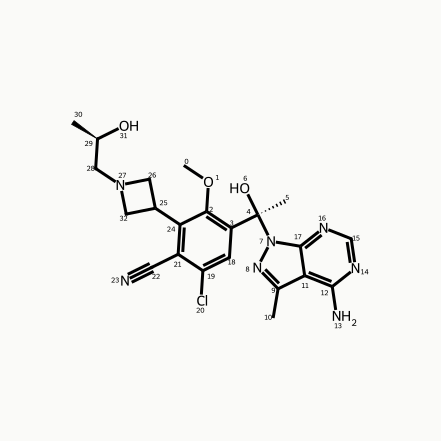 COc1c([C@@](C)(O)n2nc(C)c3c(N)ncnc32)cc(Cl)c(C#N)c1C1CN(C[C@@H](C)O)C1